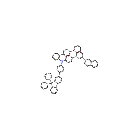 c1ccc(-c2ccc(-c3ccccc3N(c3ccc(-c4cccc(-c5ccc6ccccc6c5)c4)cc3)c3ccc(-c4ccc5c(c4)C(c4ccccc4)(c4ccccc4)c4ccccc4-5)cc3)cc2)cc1